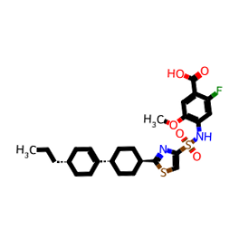 CCC[C@@H]1CC=C([C@H]2CC[C@H](c3nc(S(=O)(=O)Nc4cc(F)c(C(=O)O)cc4OC)cs3)CC2)CC1